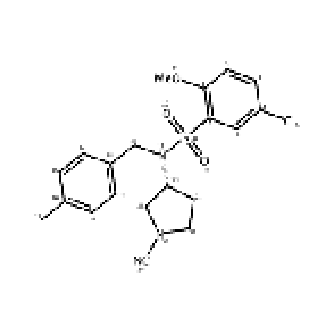 COc1ccc(Cl)cc1S(=O)(=O)N(Cc1ccc(C)cc1)[C@@H]1CCN(C#N)C1